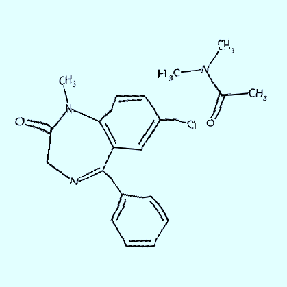 CC(=O)N(C)C.CN1C(=O)CN=C(c2ccccc2)c2cc(Cl)ccc21